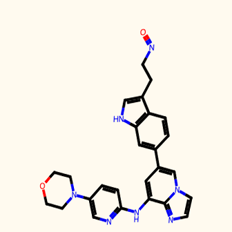 O=NCCc1c[nH]c2cc(-c3cc(Nc4ccc(N5CCOCC5)cn4)c4nccn4c3)ccc12